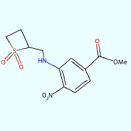 COC(=O)c1ccc([N+](=O)[O-])c(NCC2CCS2(=O)=O)c1